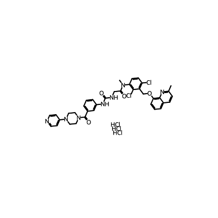 Cc1ccc2cccc(OCc3c(Cl)ccc(N(C)C(=O)CNC(=O)Nc4cccc(C(=O)N5CCN(c6ccncc6)CC5)c4)c3Cl)c2n1.Cl.Cl.Cl